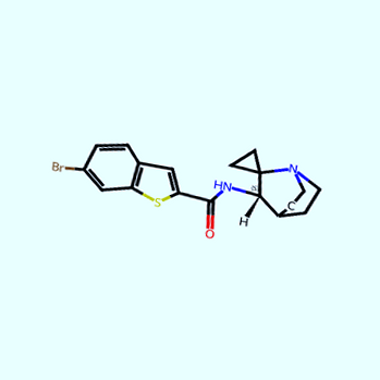 O=C(N[C@H]1C2CCN(CC2)C12CC2)c1cc2ccc(Br)cc2s1